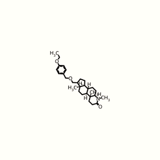 CCOc1ccc(COCC2CC[C@H]3[C@@H]4CC[C@H]5N(C)C(=O)CC[C@]5(C)[C@H]4CC[C@]23C)cc1